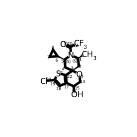 C[C@H]1C[C@@]2(C[C@@H](C3CC3)N1C(=O)C(F)(F)F)OCC(O)c1cc(Cl)sc12